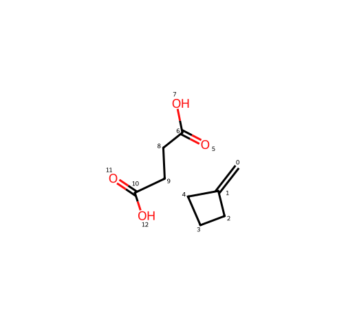 C=C1CCC1.O=C(O)CCC(=O)O